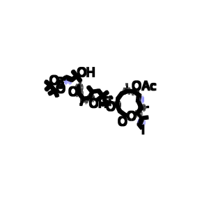 CC(=O)O[C@H]1/C=C/[C@H](C)[C@@H](/C(C)=C/I)OC(=O)C[C@H](O[Si](C)(C)C(C)(C)CC(C)[C@H](O)[C@@H](C)[C@H]2O[C@@H]2CC(C)(O)/C=C/B2OC(C)(C)C(C)(C)O2)CC[C@@H]1C